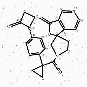 O=C1OC2(CCN(C(=O)C3(c4ccc(N5CCC5=O)cc4)CC3)C2)c2ccncc21